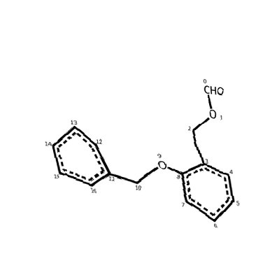 O=COCc1ccccc1OCc1ccccc1